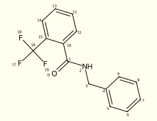 O=C(NCc1cc[c]cc1)c1ccccc1C(F)(F)F